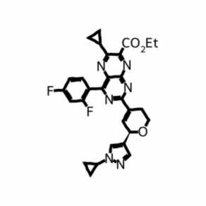 CCOC(=O)c1nc2nc(C3=C[C@H](c4cnn(C5CC5)c4)OCC3)nc(-c3ccc(F)cc3F)c2nc1C1CC1